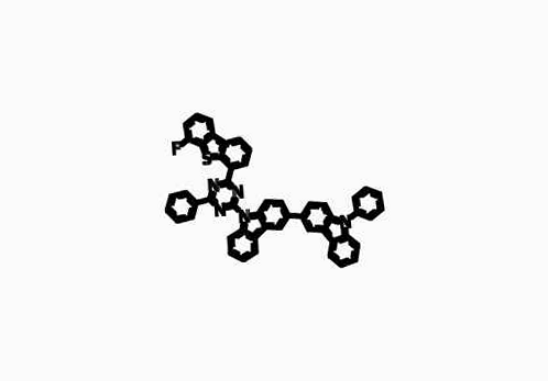 Fc1cccc2c1sc1c(-c3nc(-c4ccccc4)nc(-n4c5ccccc5c5cc(-c6ccc7c(c6)c6ccccc6n7-c6ccccc6)ccc54)n3)cccc12